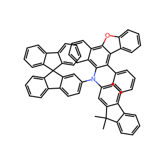 CC1(C)c2ccccc2-c2ccc(N(c3ccc4c(c3)C3(c5ccccc5-c5ccccc53)c3ccccc3-4)c3c(-c4ccccc4)c4c5ccccc5oc4c4ccccc34)cc21